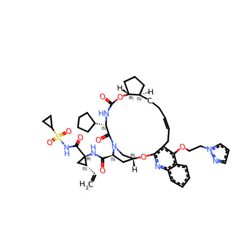 C=C[C@@H]1C[C@]1(NC(=O)[C@@H]1C[C@@H]2CN1C(=O)[C@H](C1CCCC1)NC(=O)O[C@@H]1CCC[C@H]1CCC=CCc1c(nc3ccccc3c1OCCn1cccn1)O2)C(=O)NS(=O)(=O)C1CC1